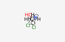 CN1[C@H]2CC[C@@H]1[C@H](CO)[C@@H](C1(C)C=CC(Cl)=C(Cl)C1)C2